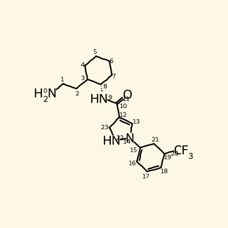 NCCC1CCCC[C@@H]1NC(=O)C1=CN(C2=CC=CC(C(F)(F)F)C2)NC1